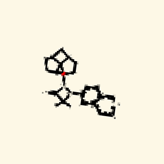 CC1(C)C(=O)N(C2C3CC4CC5CC2CC45C3)N1c1ccc2ccccc2c1